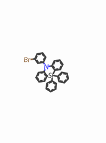 Brc1cccc(N2c3ccccc3[Si](c3ccccc3)(c3ccccc3)c3ccccc32)c1